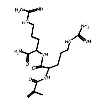 C=C(C)C(=O)NC(CCCNC(=N)N)C(=O)NC(CCCNC(=N)N)C(N)=O